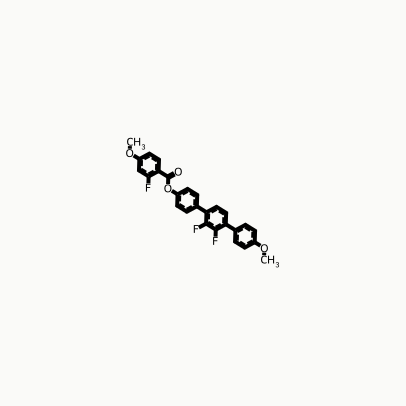 COc1ccc(-c2ccc(-c3ccc(OC(=O)c4ccc(OC)cc4F)cc3)c(F)c2F)cc1